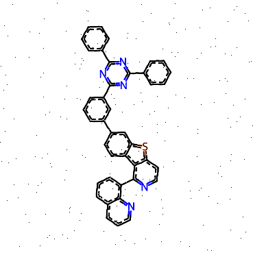 c1ccc(-c2nc(-c3ccccc3)nc(-c3cccc(-c4ccc5c(c4)sc4ccnc(-c6cccc7cccnc67)c45)c3)n2)cc1